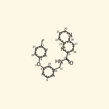 Cc1ccc(Oc2cccc(CNC(=O)c3ccc4ncccc4n3)c2)cc1